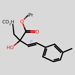 Cc1cccc(/C=C/C(O)(CC(=O)O)C(=O)OC(C)C)c1